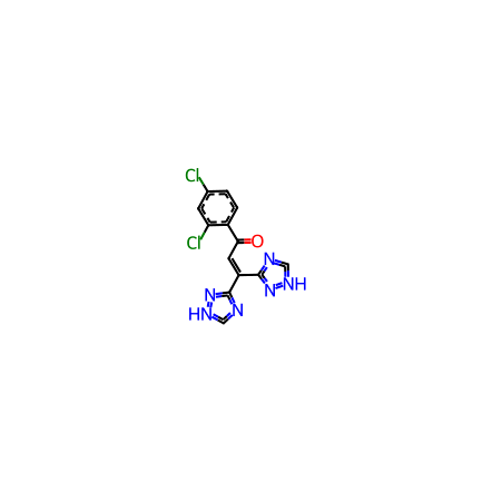 O=C(C=C(c1nc[nH]n1)c1nc[nH]n1)c1ccc(Cl)cc1Cl